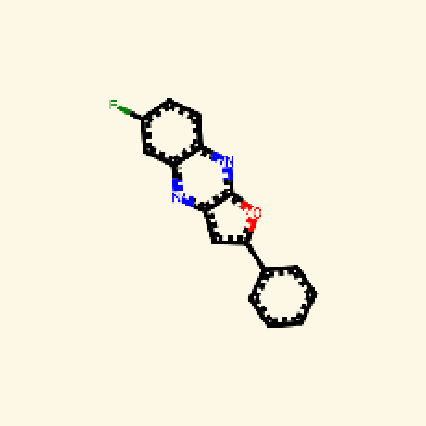 Fc1ccc2nc3oc(-c4ccccc4)cc3nc2c1